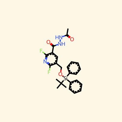 CC(=O)NNC(=O)c1cc(CO[Si](c2ccccc2)(c2ccccc2)C(C)(C)C)c(F)nc1F